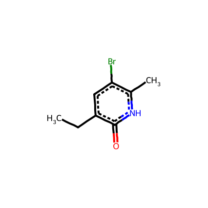 CCc1cc(Br)c(C)[nH]c1=O